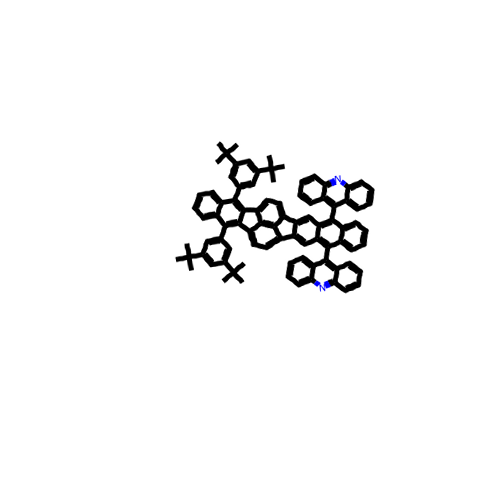 CC(C)(C)c1cc(-c2c3c(c(-c4cc(C(C)(C)C)cc(C(C)(C)C)c4)c4ccccc24)-c2ccc4c5c(ccc-3c25)-c2cc3c(-c5c6ccccc6nc6ccccc56)c5ccccc5c(-c5c6ccccc6nc6ccccc56)c3cc2-4)cc(C(C)(C)C)c1